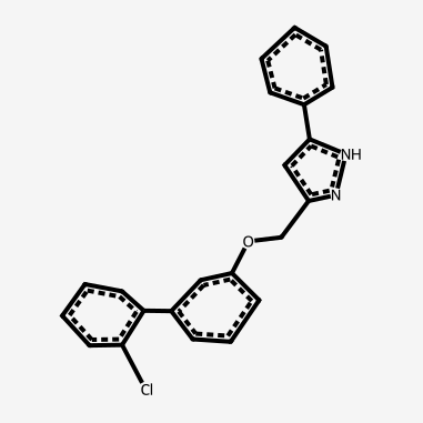 Clc1ccccc1-c1cccc(OCc2cc(-c3ccccc3)[nH]n2)c1